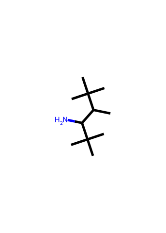 CC(C(N)C(C)(C)C)C(C)(C)C